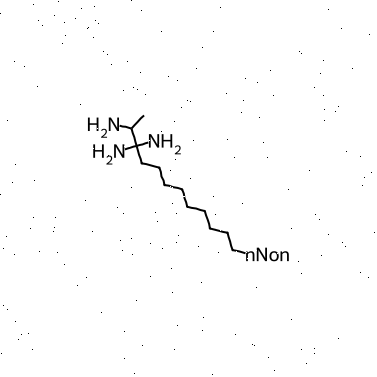 CCCCCCCCCCCCCCCCCCC(N)(N)C(C)N